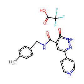 Cc1ccc(CNC(=O)c2cc(-c3ccncc3)n[nH]c2=O)cc1.O=C(O)C(F)(F)F